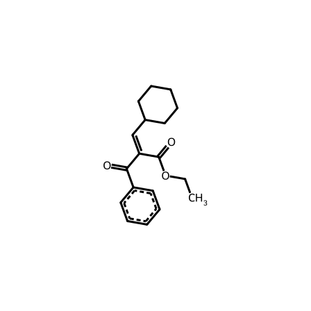 CCOC(=O)/C(=C\C1CCCCC1)C(=O)c1ccccc1